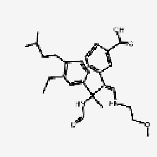 CCc1cc(C(C)(NC=O)/C(=C\NCCOC)c2cccc(C(=O)O)c2)ccc1CCC(C)C